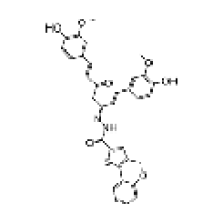 COc1cc(/C=C/C(=O)CC(/C=C/c2ccc(O)c(OC)c2)=N/NC(=O)c2cc3c(s2)-c2ccccc2OC3)ccc1O